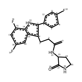 C=C(CCc1c(-c2ccc(F)cc2)[nH]c2c(F)cc(F)cc12)NC1CCNC1=O